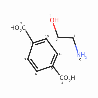 NCCO.O=C(O)c1ccc(C(=O)O)cc1